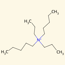 CCCCC[N+](CCC)(CCC)CCCCC